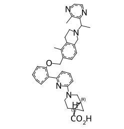 Cc1nccnc1C(C)N1CCc2c(ccc(COc3ccccc3-c3cccc(N4CC[C@@]5(C(=O)O)C[C@H]5C4)n3)c2C)C1